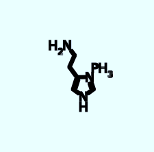 NCCc1c[nH]cn1.P